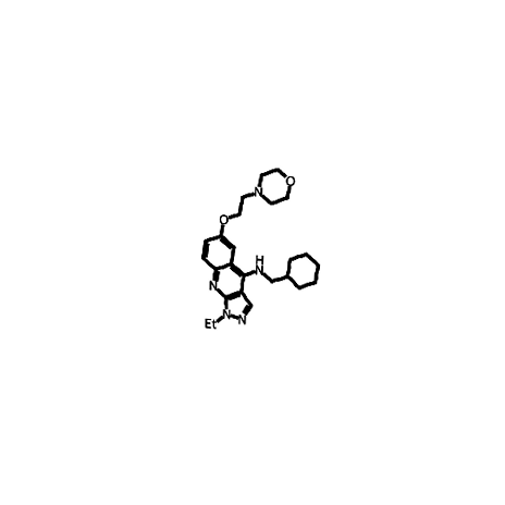 CCn1ncc2c(NCC3CCCCC3)c3cc(OCCN4CCOCC4)ccc3nc21